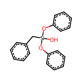 O[Si](Cc1ccccc1)(Oc1ccccc1)Oc1ccccc1